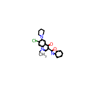 CCn1cc(-c2nc3ccccc3o2)c(=O)c2cc(N3CCCCC3)c(Cl)cc21